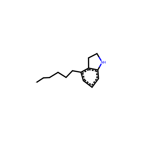 [CH2]CCCCCc1cccc2c1CCN2